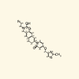 Cc1nc(COc2ccn(C3=Cc4ccc(CN(CCF)C(=O)O)cc4CC3)c(=O)c2)cs1